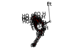 CCc1c2c(CC)c3c(CC)c1CNC(=O)Nc1ccc(C(=O)NC(CCC(=O)O)(CCC(=O)O)CCC(=O)O)cc1NC(=O)NCc1c(CC)c(c(CC)c(c1CC)CNC(=O)Nc1cc(C(=O)NC(CCC(=O)O)(CCC(=O)O)CCC(=O)O)ccc1NC(=O)NC3)CNC(=O)Nc1cc(C(=O)NCCOCCOCCOCCOCCN=[N+]=[N-])ccc1NC(=O)NC2